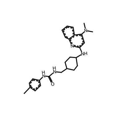 Cc1ccc(NC(=O)NCC2CCC(Nc3cc(N(C)C)c4ccccc4n3)CC2)cc1